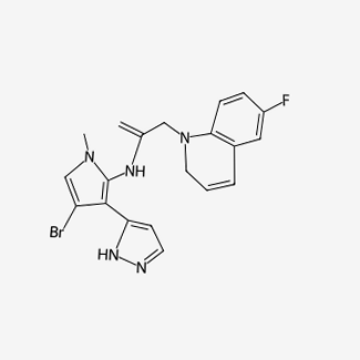 C=C(CN1CC=Cc2cc(F)ccc21)Nc1c(-c2ccn[nH]2)c(Br)cn1C